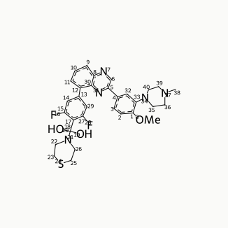 COc1ccc(-c2cnc3cccc(-c4cc(F)c(C(O)(O)N5CCSCC5)c(F)c4)c3n2)cc1N1CCN(C)CC1